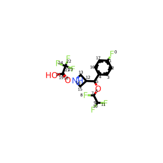 Fc1ccc(C(OC(F)C(F)F)C2CNC2)cc1.O=C(O)C(F)(F)F